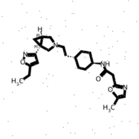 CCc1cc([C@]23C[C@H]2CN(CC[C@H]2CC[C@H](NC(=O)Cc4ncc(C)o4)CC2)C3)no1